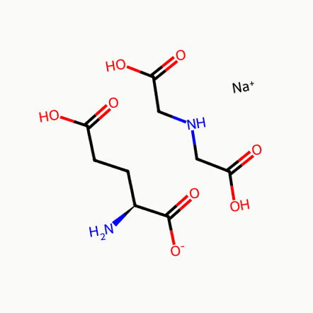 N[C@@H](CCC(=O)O)C(=O)[O-].O=C(O)CNCC(=O)O.[Na+]